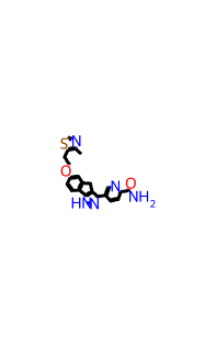 Cc1ncsc1CCOc1ccc2c(c1)Cc1c(-c3ccc(C(N)=O)nc3)n[nH]c1-2